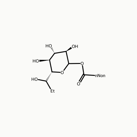 CCCCCCCCCC(=O)OC1O[C@H](C(O)CC)[C@@H](O)[C@H](O)[C@H]1O